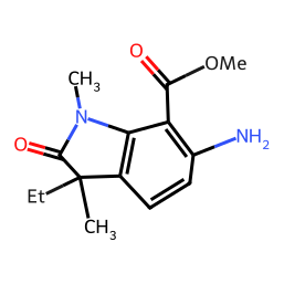 CCC1(C)C(=O)N(C)c2c1ccc(N)c2C(=O)OC